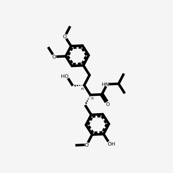 COc1cc(C[C@@H](C(=O)NC(C)C)[C@H](CO)Cc2ccc(OC)c(OC)c2)ccc1O